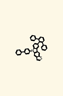 c1ccc(-c2ccc(-n3c4ccc(-c5c(-c6ccccc6)cccc5-c5ccccc5)cc4c4cc5sccc5cc43)cc2)cc1